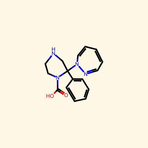 O=C(O)N1CCNCC1(c1ccccc1)N1C=CC=CC=N1